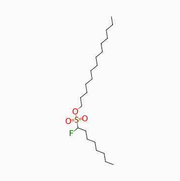 CCCCCCCCCCCCCCOS(=O)(=O)C(F)CCCCCCC